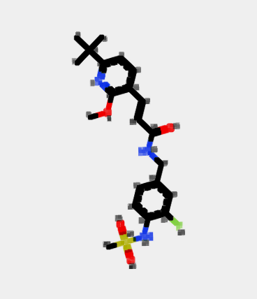 COc1nc(C(C)(C)C)ccc1/C=C/C(=O)NCc1ccc(NS(C)(=O)=O)c(F)c1